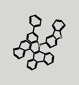 c1ccc(-c2cccc(N(c3ccc4sc5ccccc5c4c3)c3c(-c4cccc5ccccc45)c4ccccc4c4ccccc34)c2)cc1